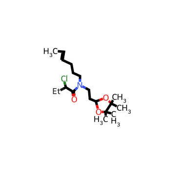 CC=CCCCN(CCC1OC(C)(C)C(C)(C)O1)C(=O)C(Cl)CC